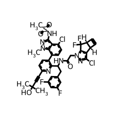 Cn1nc(NS(C)(=O)=O)c2c(Cl)ccc(-c3ccc(C#CC(C)(C)O)nc3C(Cc3cc(F)cc(F)c3)NC(=O)Cn3nc(Cl)c4c3C(F)(F)[C@@H]3C#C[C@H]43)c21